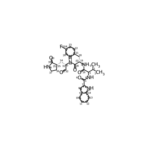 CC(C)C(NC(=O)c1cc2ccccc2[nH]1)C(=O)N[C@@H](Cc1ccc(F)cc1)C(=O)N[C@H](C=O)C[C@@H]1CCNC1=O